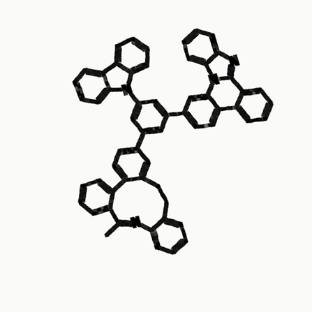 C/C1=N\c2ccccc2CCc2cc(-c3cc(-c4ccc5c6ccccc6c6nc7ccccc7n6c5c4)cc(-n4c5ccccc5c5ccccc54)c3)ccc2-c2ccccc21